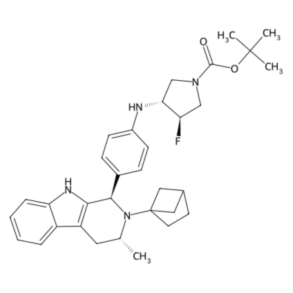 C[C@@H]1Cc2c([nH]c3ccccc23)[C@@H](c2ccc(N[C@@H]3CN(C(=O)OC(C)(C)C)C[C@H]3F)cc2)N1C12CCC(C1)C2